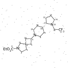 CCOC(=O)N1CCC2(CC(N3CCC([C@@H]4CCCN4CC(F)(F)F)CC3)C2)C1